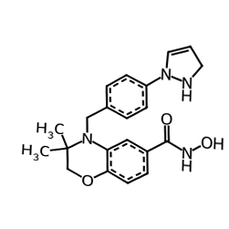 CC1(C)COc2ccc(C(=O)NO)cc2N1Cc1ccc(N2C=CCN2)cc1